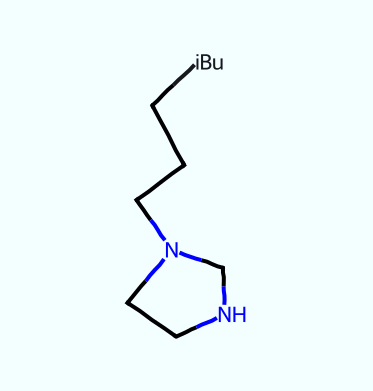 CCC(C)CCCN1CCNC1